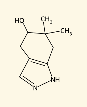 CC1(C)Cc2[nH]ncc2CC1O